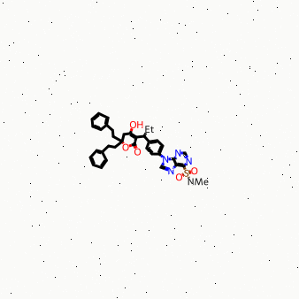 CCC(C1=C(O)CC(CCc2ccccc2)(CCc2ccccc2)OC1=O)c1ccc(-n2cnc3c(S(=O)(=O)NC)ncnc32)cc1